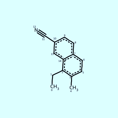 CCc1c(C)ccc2ccc(C#N)cc12